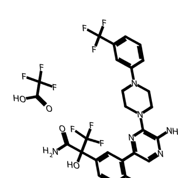 Cc1ccc(C(O)(C(N)=O)C(F)(F)F)cc1-c1cnc(N)c(N2CCN(c3cccc(C(F)(F)F)c3)CC2)n1.O=C(O)C(F)(F)F